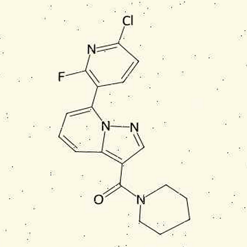 O=C(c1cnn2c(-c3ccc(Cl)nc3F)cccc12)N1CCCCC1